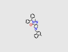 Cc1ccc(CN2CCc3nc(C)n(C(c4ccccc4)c4ccccc4)c(=O)c3C2)c2ccccc12